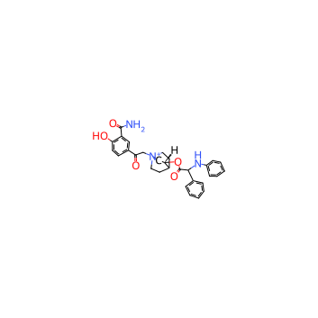 NC(=O)c1cc(C(=O)C[N+]23CCC(CC2)[C@@H](OC(=O)C(Nc2ccccc2)c2ccccc2)C3)ccc1O